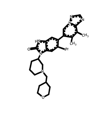 Cc1c(-c2cc3[nH]c(=O)n(C4CCCN(CC5CCOCC5)C4)c3cc2C(C)C)cn2ncnc2c1C